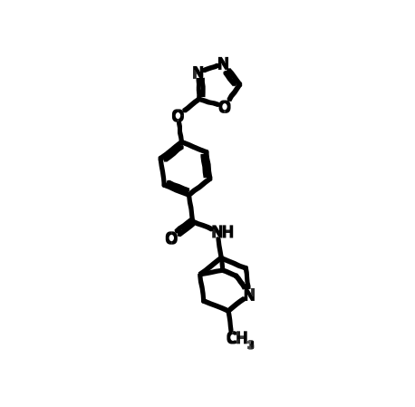 CC1CC2CCN1CC2NC(=O)c1ccc(Oc2nnco2)cc1